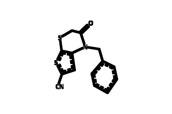 N#Cc1cc2c(s1)SCC(=O)N2Cc1ccccc1